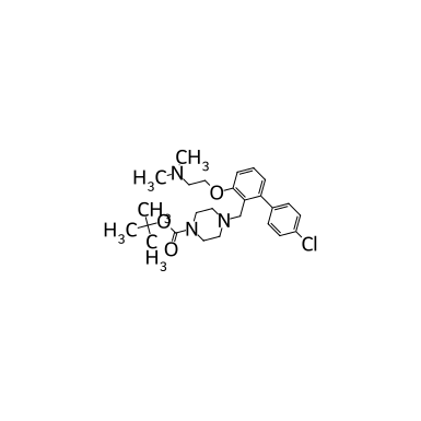 CN(C)CCOc1cccc(-c2ccc(Cl)cc2)c1CN1CCN(C(=O)OC(C)(C)C)CC1